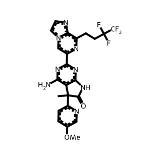 COc1ccc(C2(C)C(=O)Nc3nc(-c4cn5ccnc5c(CCC(F)(F)C(F)(F)F)n4)nc(N)c32)nc1